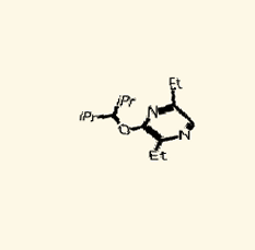 CCc1cnc(CC)c(OC(C(C)C)C(C)C)n1